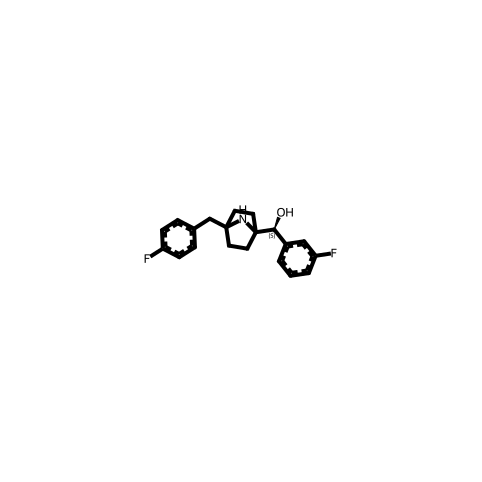 O[C@@H](c1cccc(F)c1)C12CCC(Cc3ccc(F)cc3)(CC1)N2